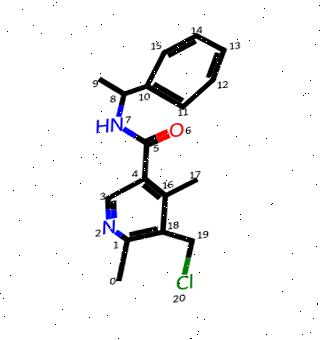 Cc1ncc(C(=O)NC(C)c2ccccc2)c(C)c1CCl